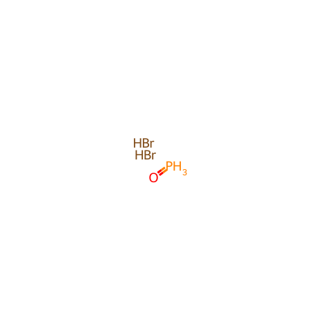 Br.Br.O=[PH3]